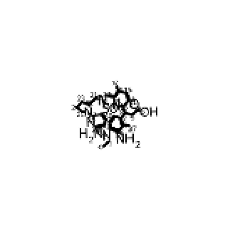 CCN(N)c1ccc(C(CC(=O)O)c2ccc(C)c(CN3CC4CCCN4c4ncccc4[S+]3[O-])n2)c(C)c1N